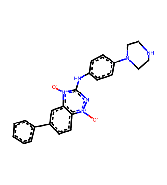 [O-][n+]1nc(Nc2ccc(N3CCNCC3)cc2)[n+]([O-])c2cc(-c3ccccc3)ccc21